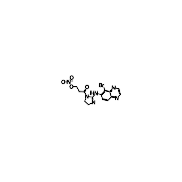 O=C(CCO[N+](=O)[O-])N1CCN=C1Nc1ccc2nccnc2c1Br